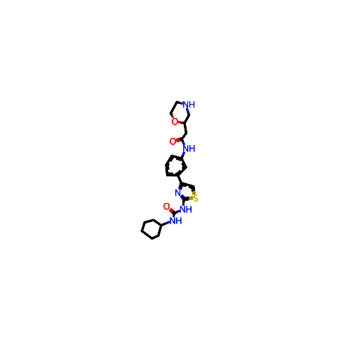 O=C(CC1CNCCO1)Nc1cccc(-c2csc(NC(=O)NC3CCCCC3)n2)c1